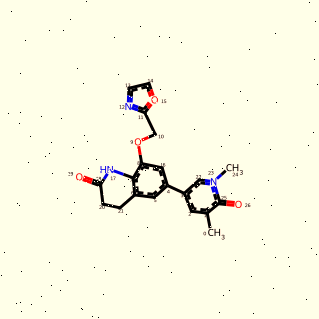 Cc1cc(-c2cc3c(c(OCc4ncco4)c2)NC(=O)CC3)cn(C)c1=O